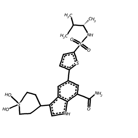 CC(C)[C@H](C)NS(=O)(=O)c1ccc(-c2cc(C(N)=O)c3[nH]cc(C4CCS(O)(O)CC4)c3c2)s1